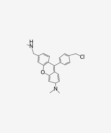 CNCc1ccc2c(c1)OC1=CC(N(C)C)C=CC1=C2c1ccc(CCl)cc1